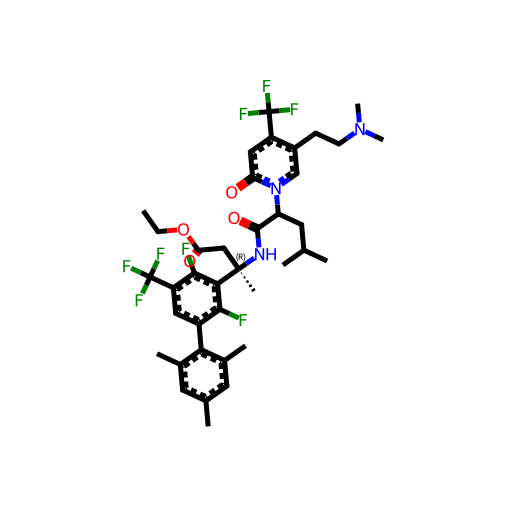 CCOC(=O)C[C@@](C)(NC(=O)C(CC(C)C)n1cc(CCN(C)C)c(C(F)(F)F)cc1=O)c1c(F)c(-c2c(C)cc(C)cc2C)cc(C(F)(F)F)c1F